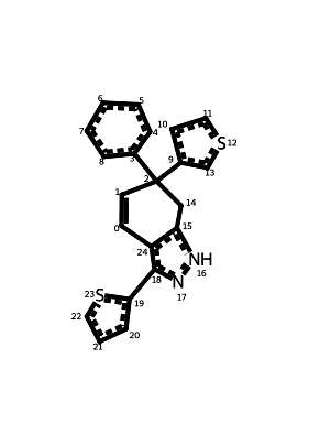 C1=CC(c2ccccc2)(c2ccsc2)Cc2[nH]nc(-c3cccs3)c21